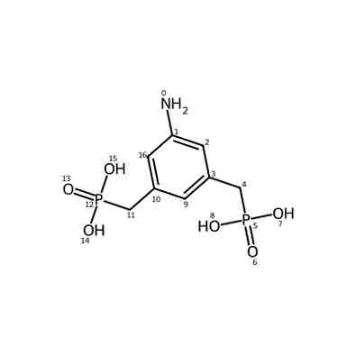 Nc1cc(CP(=O)(O)O)cc(CP(=O)(O)O)c1